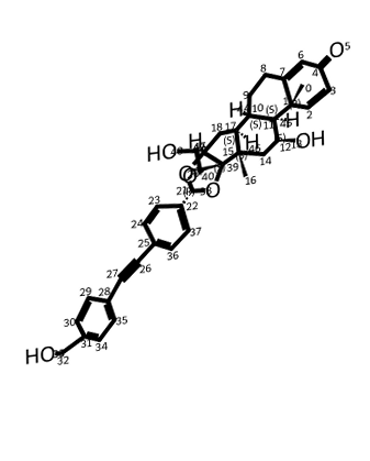 C[C@]12C=CC(=O)C=C1CC[C@@H]1[C@@H]2[C@@H](O)C[C@@]2(C)[C@H]1C[C@H]1O[C@@H](c3ccc(C#Cc4ccc(CO)cc4)cc3)O[C@]12C(=O)CO